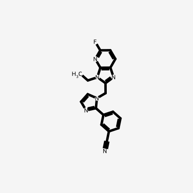 CCn1c(Cn2ccnc2-c2cccc(C#N)c2)nc2ccc(F)nc21